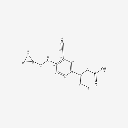 CCC(CC(=O)O)c1ccc(OCC2CO2)c(C#N)c1